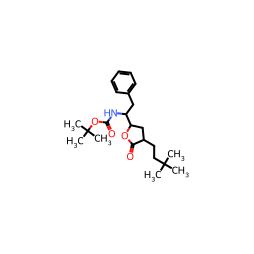 CC(C)(C)CCC1CC(C(Cc2ccccc2)NC(=O)OC(C)(C)C)OC1=O